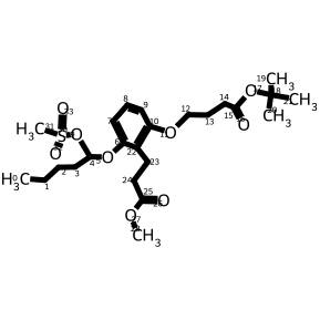 CCCCC(Oc1cccc(OCCCC(=O)OC(C)(C)C)c1CCC(=O)OC)OS(C)(=O)=O